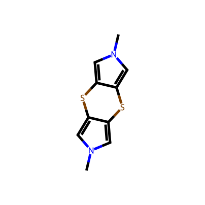 Cn1cc2c(c1)Sc1cn(C)cc1S2